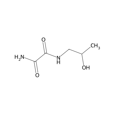 CC(O)CNC(=O)C(N)=O